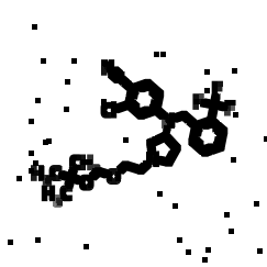 CC(C)(C)OCOCCN1CC[C@H](N(Cc2ccccc2C(F)(F)F)c2ccc(C#N)c(Cl)c2)C1